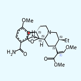 CC[C@@H]1CN2CC[C@@]34OCCO[C@@]3(Nc3c(C(N)=O)ccc(OC)c34)[C@@H]2C[C@@H]1/C(=C\OC)C(=O)OC